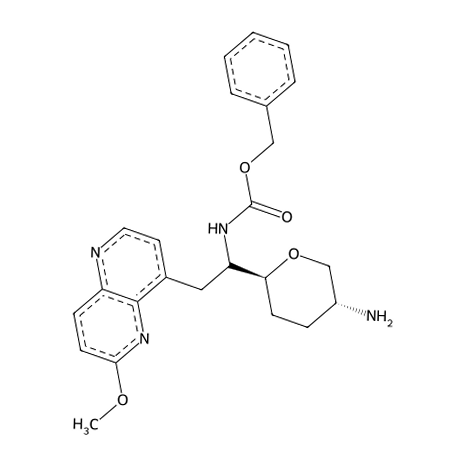 COc1ccc2nccc(CC(NC(=O)OCc3ccccc3)[C@@H]3CC[C@@H](N)CO3)c2n1